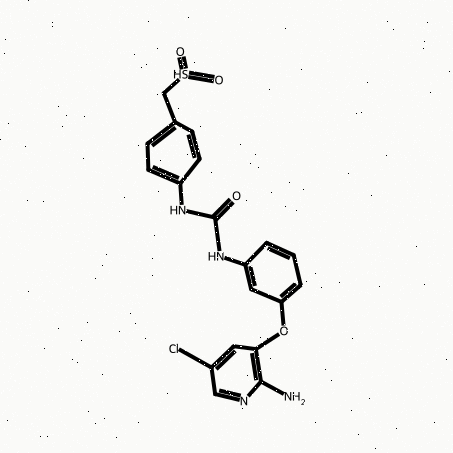 Nc1ncc(Cl)cc1Oc1cccc(NC(=O)Nc2ccc(C[SH](=O)=O)cc2)c1